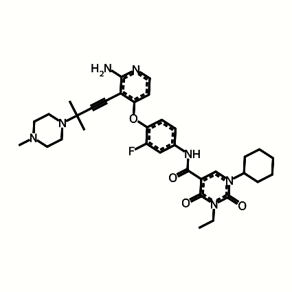 CCn1c(=O)c(C(=O)Nc2ccc(Oc3ccnc(N)c3C#CC(C)(C)N3CCN(C)CC3)c(F)c2)cn(C2CCCCC2)c1=O